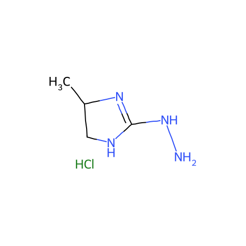 CC1CNC(NN)=N1.Cl